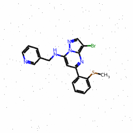 CSc1ccccc1-c1cc(NCc2cccnc2)n2ncc(Br)c2n1